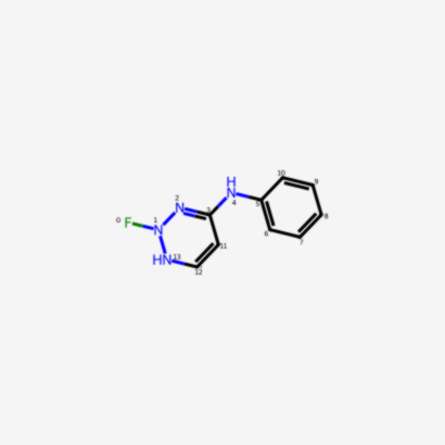 FN1N=C(Nc2ccccc2)C=[C]N1